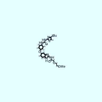 COCCOCC(=O)Nc1nc2cc(Oc3ccc(NC(=O)Nc4nc(C(C)(C)C)cs4)cc3)ccc2[nH]1